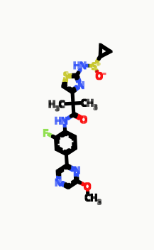 COc1cncc(-c2ccc(NC(=O)C(C)(C)c3csc(N[S+]([O-])C4CC4)n3)c(F)c2)n1